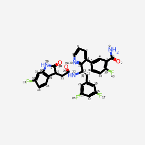 NC(=O)c1cc(-c2cccnc2[C@H](Cc2cc(F)cc(F)c2)NC(=O)CC2C(=O)Nc3cc(F)ccc32)ccc1F